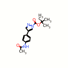 CC(=O)Nc1ccc(-c2cnn(C(=O)OC(C)(C)C)c2)cc1